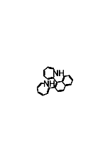 C1=CC=C(c2ccc3ccccc3c2C2=CC=CC=CN2)NC=C1